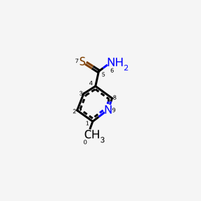 Cc1ccc(C(N)=S)cn1